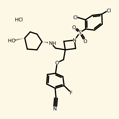 Cl.N#Cc1ccc(OCC2(CN[C@H]3CC[C@@H](O)CC3)CN(S(=O)(=O)c3ccc(Cl)cc3Cl)C2)cc1F